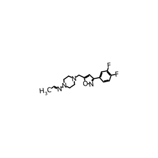 C/C=N/N1CCN(Cc2cc(-c3ccc(F)c(F)c3)no2)CC1